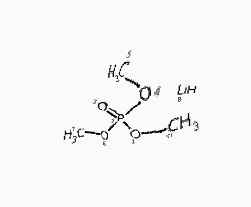 COP(=O)(OC)OC.[LiH]